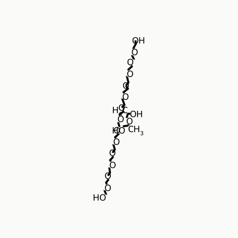 CC(O)COC(C)CO.OCCOCCOCCOCCOCCOCCOCCOCCOCCOCCOCCOCCOCCOCCO